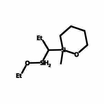 CCO[SiH2]C(CC)[Si]1(C)CCCCO1